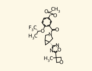 C[C@@H](Oc1ccc(S(C)(=O)=O)cc1C(=O)N1CC2C[C@]2(c2noc(C3(C)COC3)n2)C1)C(F)(F)F